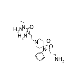 CCN(N)C(=O)N(N)CCN1CCC(COC)(N(C(=O)CCN)c2ccccc2)CC1